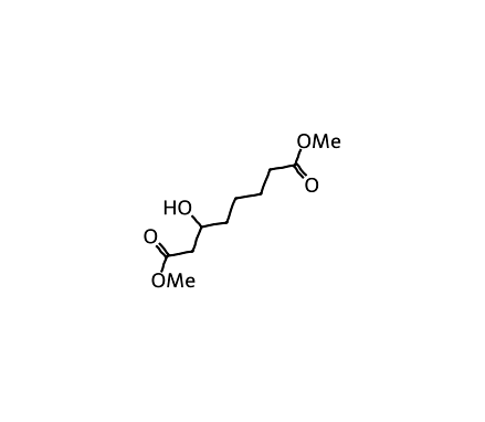 COC(=O)CCCCC(O)CC(=O)OC